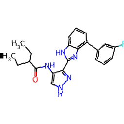 CCC(CC)C(=O)Nc1c[nH]nc1-c1nc2c(-c3cccc(F)c3)cccc2[nH]1